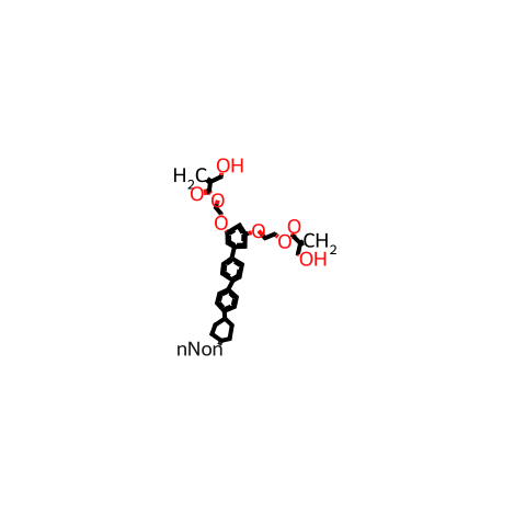 C=C(CO)C(=O)OCCOc1cc(OCCOC(=O)C(=C)CO)cc(-c2ccc(-c3ccc(C4CCC(CCCCCCCCC)CC4)cc3)cc2)c1